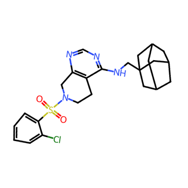 O=S(=O)(c1ccccc1Cl)N1CCc2c(ncnc2NCC23CC4CC(CC(C4)C2)C3)C1